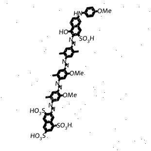 COc1ccc(Nc2ccc3c(O)c(N=Nc4cc(C)c(N=Nc5cc(C)c(N=Nc6cc(C)c(N=Nc7cc8c(S(=O)(=O)O)cc(S(=O)(=O)O)cc8cc7S(=O)(=O)O)cc6OC)cc5OC)cc4C)c(S(=O)(=O)O)cc3c2)cc1